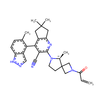 C=CC(=O)N1CC2(CCN(c3nc4c(c(-c5c(C)ccc6[nH]ncc56)c3C#N)CC(C)(C)C4)[C@H]2C)C1